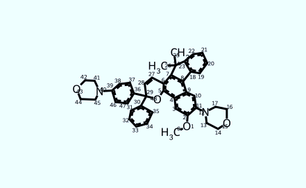 COc1cc2c3c(c4c(c2cc1N1CCOCC1)-c1ccccc1C4(C)C)C=CC(c1ccccc1)(c1ccc(N2CCOCC2)cc1)O3